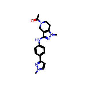 CC(=O)N1CCc2c(c(Nc3ccc(-c4ccn(C)n4)cc3)nn2C)C1